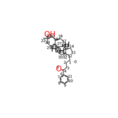 C[C@H](CCC(=O)c1ccccc1)[C@H]1CC[C@H]2[C@@H]3CC=C4C[C@@](C)(O)CC[C@]4(C)[C@H]3CC[C@]12C